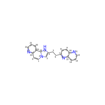 C1=CN2C=C(CCc3ccc4ncccc4n3)NC2c2cccnc21